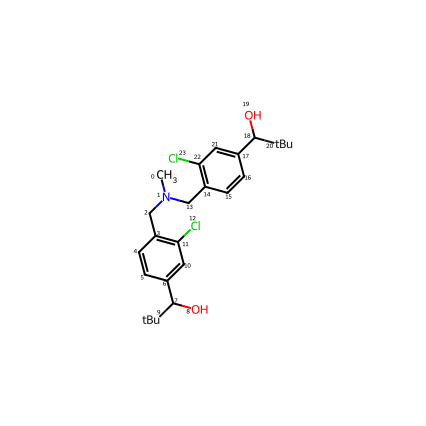 CN(Cc1ccc(C(O)C(C)(C)C)cc1Cl)Cc1ccc(C(O)C(C)(C)C)cc1Cl